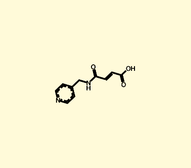 O=C(O)C=CC(=O)NCc1ccncc1